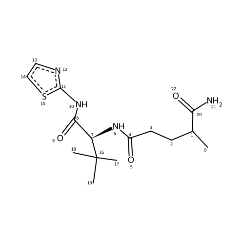 CC(C[CH]C(=O)N[C@H](C(=O)Nc1nccs1)C(C)(C)C)C(N)=O